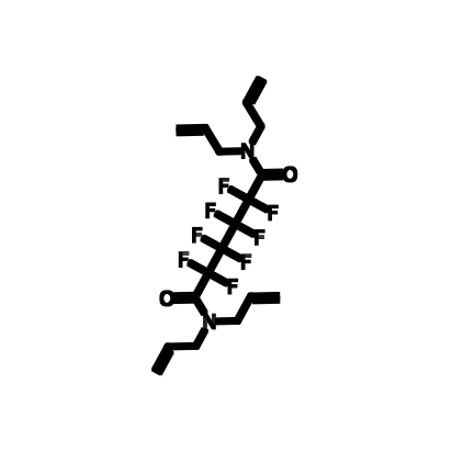 C=CCN(CC=C)C(=O)C(F)(F)C(F)(F)C(F)(F)C(F)(F)C(=O)N(CC=C)CC=C